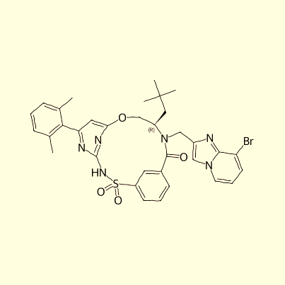 Cc1cccc(C)c1-c1cc2nc(n1)NS(=O)(=O)c1cccc(c1)C(=O)N(Cc1cn3cccc(Br)c3n1)[C@H](CC(C)(C)C)CO2